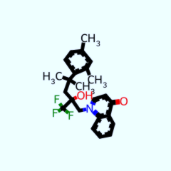 Cc1ccc(C(C)(C)CC(O)(Cn2ccc(=O)c3ccccc32)C(F)(F)F)c(C)c1